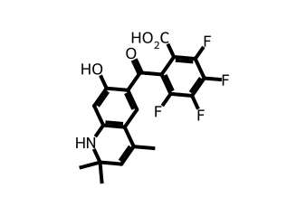 CC1=CC(C)(C)Nc2cc(O)c(C(=O)c3c(F)c(F)c(F)c(F)c3C(=O)O)cc21